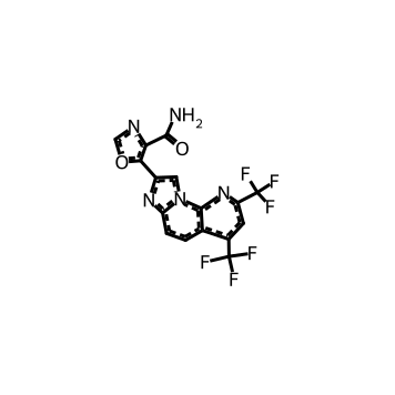 NC(=O)c1ncoc1-c1cn2c(ccc3c(C(F)(F)F)cc(C(F)(F)F)nc32)n1